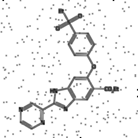 CCOC(=O)c1cc2nc(-c3cnccn3)[nH]c2cc1Oc1ccc(S(=O)(=O)CC)cc1